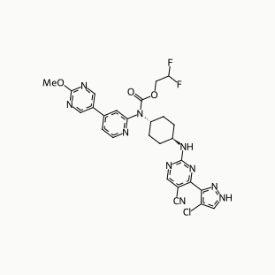 COc1ncc(-c2ccnc(N(C(=O)OCC(F)F)[C@H]3CC[C@H](Nc4ncc(C#N)c(-c5n[nH]cc5Cl)n4)CC3)c2)cn1